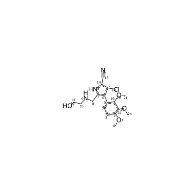 COc1ccc(-c2c(CNCCO)[nH]c(C#N)c2Cl)c(OC)c1OC